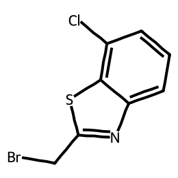 Clc1cccc2nc(CBr)sc12